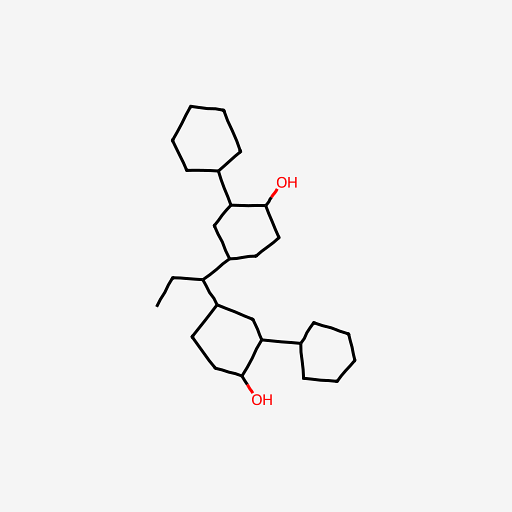 CCC(C1CCC(O)C(C2CCCCC2)C1)C1CCC(O)C(C2CCCCC2)C1